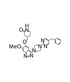 COc1cc2ncnc(N3CCN(c4ncc(Cc5ccccc5)cn4)CC3)c2cc1OCC1CCNC(=O)C1